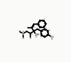 C/C(=C/c1ccccc1)C(O)(Cc1ccc(Cl)cc1)C(C)CN(C)C